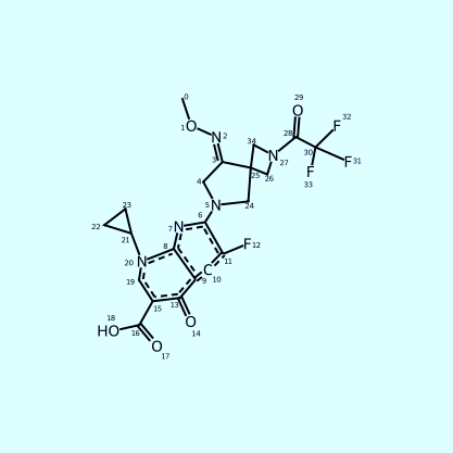 CON=C1CN(c2nc3c(cc2F)c(=O)c(C(=O)O)cn3C2CC2)CC12CN(C(=O)C(F)(F)F)C2